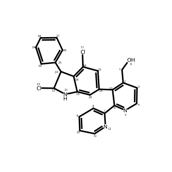 OCc1ccnc(-c2ccccn2)c1-c1cc(Cl)c2c(c1)NC(Cl)C2c1ccccc1